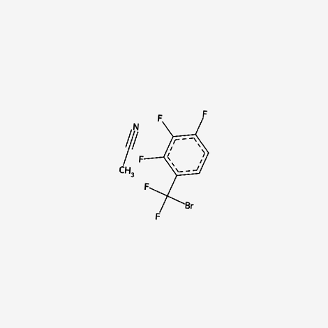 CC#N.Fc1ccc(C(F)(F)Br)c(F)c1F